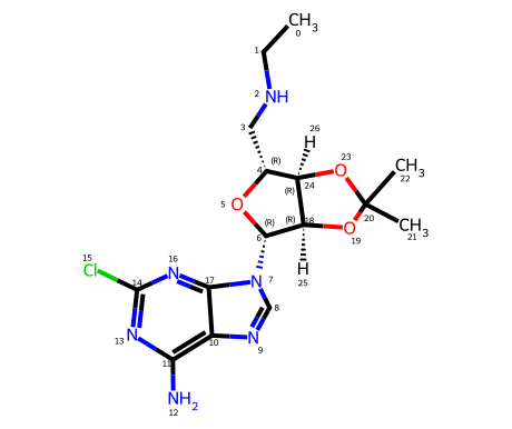 CCNC[C@H]1O[C@@H](n2cnc3c(N)nc(Cl)nc32)[C@@H]2OC(C)(C)O[C@@H]21